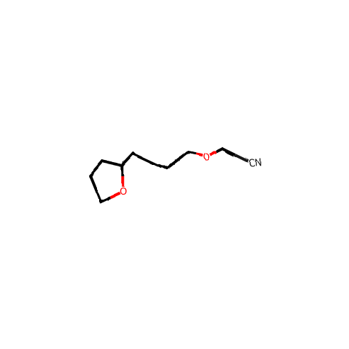 N#CCOCCCC1CCCO1